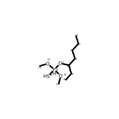 CCCCC(CC)O[PH](S)(OC)OC